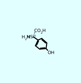 N[Si@H](C(=O)O)c1ccc(O)cc1